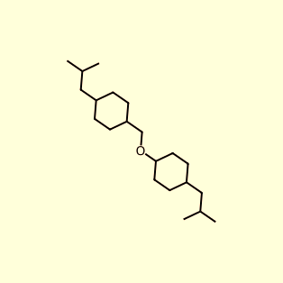 CC(C)CC1CCC(COC2CCC(CC(C)C)CC2)CC1